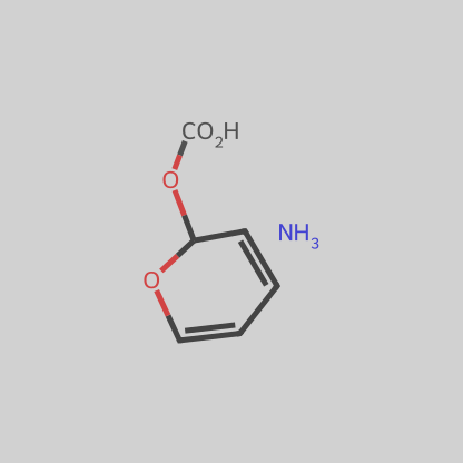 N.O=C(O)OC1C=CC=CO1